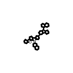 c1ccc2c(c1)-c1cc(-c3ccc4c(c3)c3ccc5c6ccccc6oc5c3n4-c3ccc4ccccc4c3)ccc1C2c1cccc2ccccc12